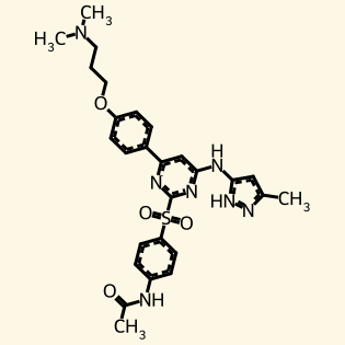 CC(=O)Nc1ccc(S(=O)(=O)c2nc(Nc3cc(C)n[nH]3)cc(-c3ccc(OCCCN(C)C)cc3)n2)cc1